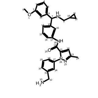 COc1cccc(C(NCC2CC2)c2cccc(NC(=O)c3cc(C)nn3-c3cccc(CN)c3)c2)c1